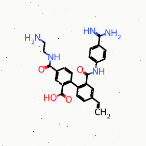 C=Cc1ccc(-c2ccc(C(=O)NCCN)cc2C(=O)O)c(C(=O)Nc2ccc(C(=N)N)cc2)c1